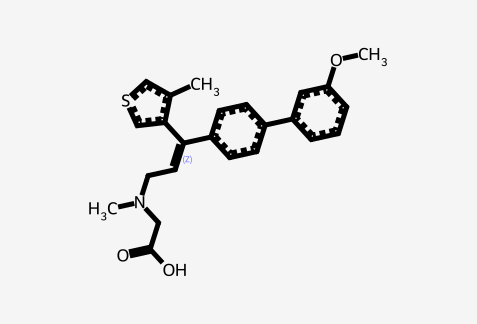 COc1cccc(-c2ccc(/C(=C/CN(C)CC(=O)O)c3cscc3C)cc2)c1